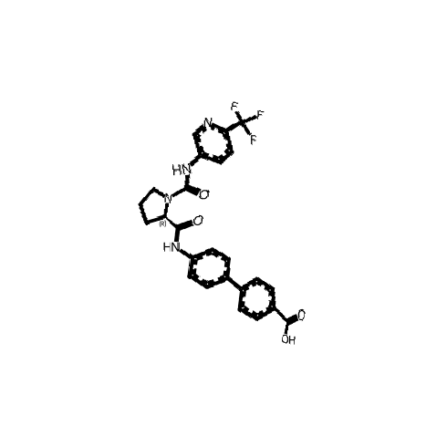 O=C(O)c1ccc(-c2ccc(NC(=O)[C@H]3CCCN3C(=O)Nc3ccc(C(F)(F)F)nc3)cc2)cc1